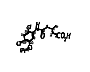 CC(CC(=O)O)CC(=O)Nc1cc(OC(C)C)c(Cl)cc1Cl